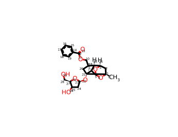 C[C@@]12C[C@H]3OC(O1)[C@@]14[C@H]3C1(COC(=O)c1ccccc1)C[C@]24O[C@H]1CC(O)[C@@H](CO)O1